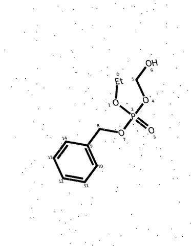 CCOP(=O)(OCO)OCc1ccccc1